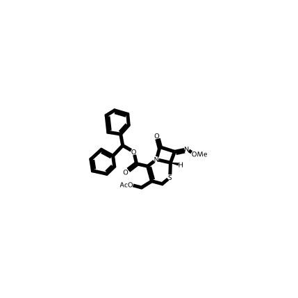 CON=C1C(=O)N2C(C(=O)OC(c3ccccc3)c3ccccc3)=C(COC(C)=O)CS[C@@H]12